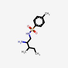 CCC(C)C(N)CNS(=O)(=O)c1ccc(C)cc1